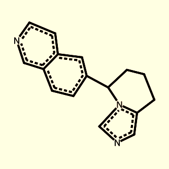 c1cc2cc(C3CCCc4cncn43)ccc2cn1